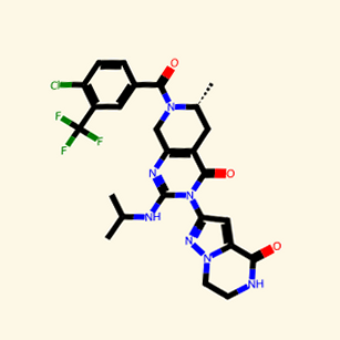 CC(C)Nc1nc2c(c(=O)n1-c1cc3n(n1)CCNC3=O)C[C@@H](C)N(C(=O)c1ccc(Cl)c(C(F)(F)F)c1)C2